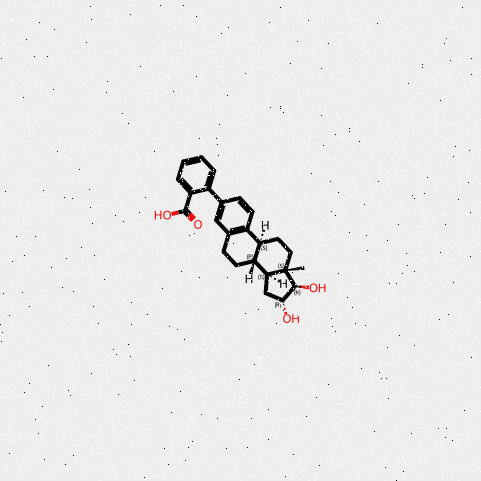 C[C@]12CC[C@@H]3c4ccc(-c5ccccc5C(=O)O)cc4CC[C@H]3[C@@H]1C[C@@H](O)[C@@H]2O